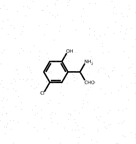 NC([C]=O)c1cc(Cl)ccc1O